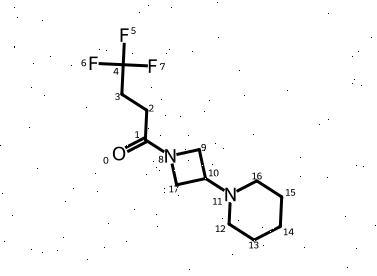 O=C(CCC(F)(F)F)N1CC(N2CCCCC2)C1